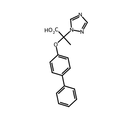 CC(Oc1ccc(-c2ccccc2)cc1)(C(=O)O)n1cncn1